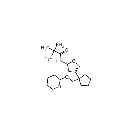 BC(C)(C)C(=O)NC1CC(C2(COC3CCCCO3)CCCC2)=NO1